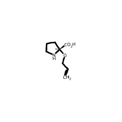 C=CCO[C@@]1(C(=O)O)CCCN1